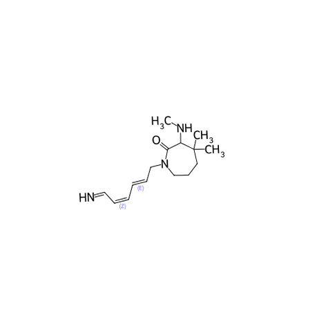 CNC1C(=O)N(C/C=C/C=C\C=N)CCCC1(C)C